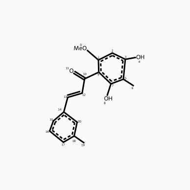 COc1cc(O)c(C)c(O)c1C(=O)/C=C/c1cccc(C)c1